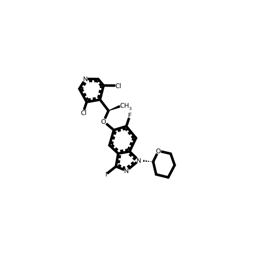 C[C@@H](Oc1cc2c(I)nn([C@H]3CCCCO3)c2cc1F)c1c(Cl)cncc1Cl